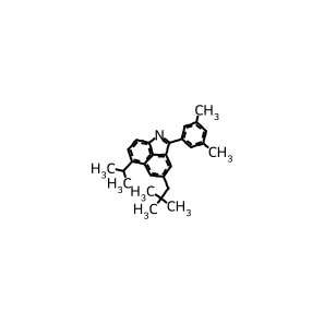 Cc1cc(C)cc(C2=Nc3ccc(C(C)C)c4cc(CC(C)(C)C)cc2c34)c1